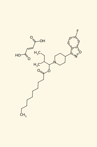 CCCCCCCCCC(=O)OC(C(C)CC)N1CCC(c2noc3cc(F)ccc23)CC1.O=C(O)/C=C/C(=O)O